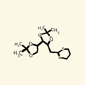 CC1(C)OCC(C2OC(C)(C)OC2CC2SCCCS2)O1